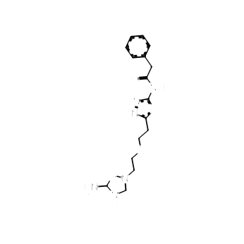 NC1NCN(CCSCCc2nnc(NC(=O)Cc3ccccc3)s2)S1